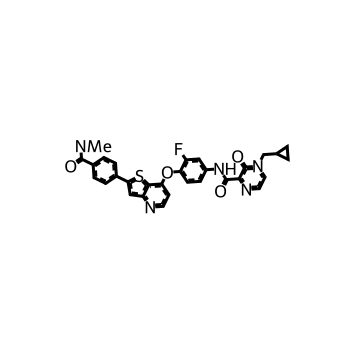 CNC(=O)c1ccc(-c2cc3nccc(Oc4ccc(NC(=O)c5nccn(CC6CC6)c5=O)cc4F)c3s2)cc1